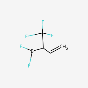 C=CC(B(F)F)C(F)(F)F